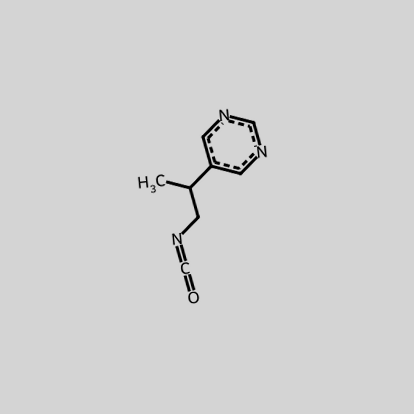 CC(CN=C=O)c1cncnc1